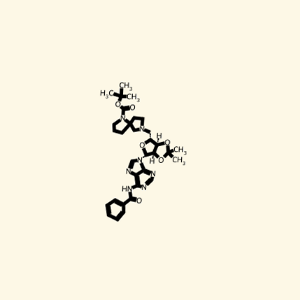 CC(C)(C)OC(=O)N1CCCC12CCN(C[C@H]1O[C@@H](n3cnc4c(NC(=O)c5ccccc5)ncnc43)[C@@H]3OC(C)(C)O[C@@H]31)C2